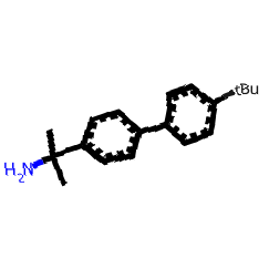 CC(C)(C)c1ccc(-c2ccc(C(C)(C)N)cc2)cc1